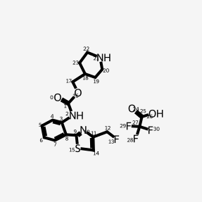 O=C(Nc1ccccc1-c1nc(CF)cs1)OCC1CCNCC1.O=C(O)C(F)(F)F